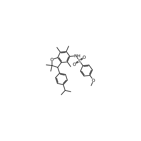 COc1ccc(S(=O)(=O)Nc2c(C)c(C)c3c(c2C)C(c2ccc(C(C)C)cc2)C(C)(C)O3)cc1